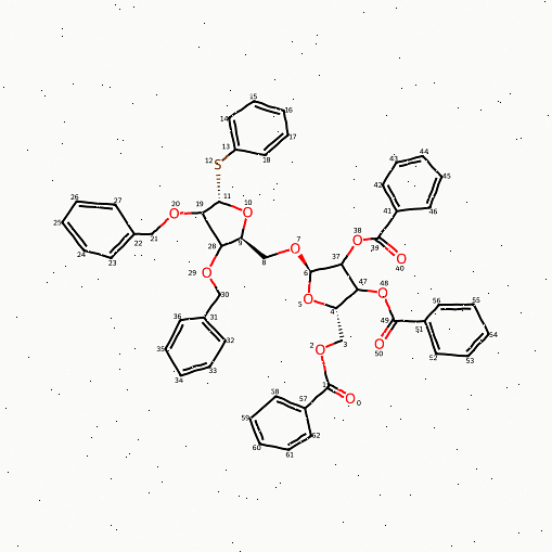 O=C(OC[C@@H]1O[C@@H](OC[C@@H]2O[C@@H](Sc3ccccc3)C(OCc3ccccc3)C2OCc2ccccc2)C(OC(=O)c2ccccc2)C1OC(=O)c1ccccc1)c1ccccc1